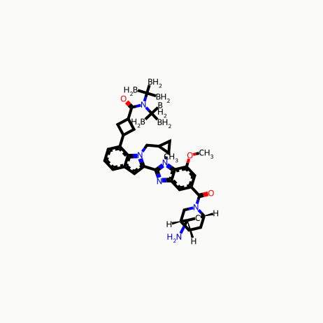 BC(B)(B)N(C(=O)C1CC(c2cccc3cc(-c4nc5cc(C(=O)N6C[C@H]7CC[C@@H]6C[C@@H]7N)cc(OC)c5n4C)n(CC4CC4)c23)C1)C(B)(B)B